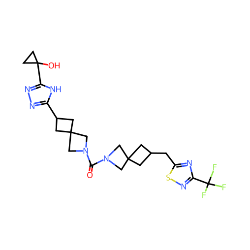 O=C(N1CC2(CC(Cc3nc(C(F)(F)F)ns3)C2)C1)N1CC2(CC(c3nnc(C4(O)CC4)[nH]3)C2)C1